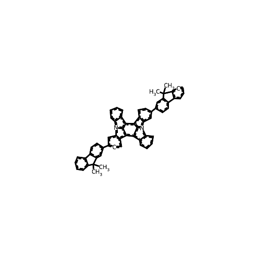 CC1(C)c2ccccc2-c2ccc(-c3ccc4c5c6c7ccccc7n7c8cc(-c9ccc%10c(c9)C(C)(C)c9ccccc9-%10)ccc8c(c8c9ccccc9n(c4c3)c85)c67)cc21